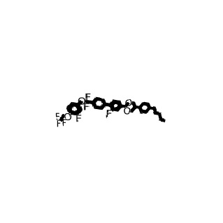 CCCCCC1CCC(C2COC(c3ccc(C4CCC(C(F)(F)Oc5ccc(OCC(F)(F)F)c(F)c5)CC4)c(F)c3)OC2)CC1